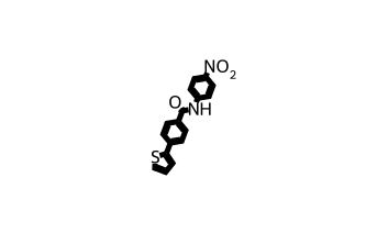 O=C(Nc1ccc([N+](=O)[O-])cc1)c1ccc(-c2cccs2)cc1